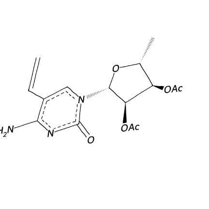 C=Cc1cn([C@@H]2O[C@H](C)[C@@H](OC(C)=O)[C@H]2OC(C)=O)c(=O)nc1N